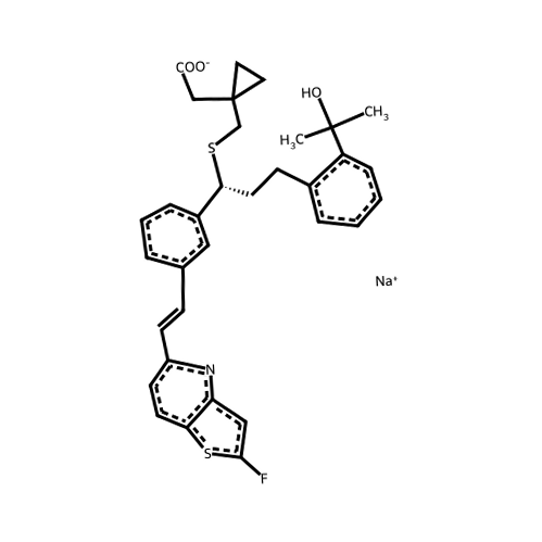 CC(C)(O)c1ccccc1CC[C@@H](SCC1(CC(=O)[O-])CC1)c1cccc(C=Cc2ccc3sc(F)cc3n2)c1.[Na+]